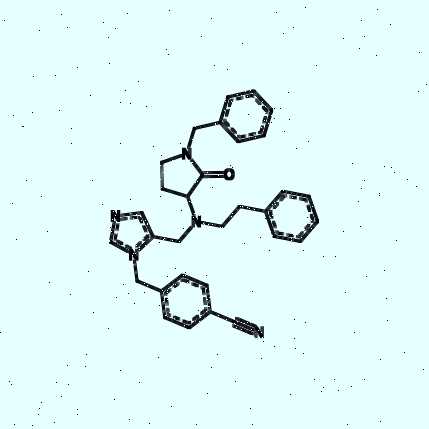 N#Cc1ccc(Cn2cncc2CN(CCc2ccccc2)C2CCN(Cc3ccccc3)C2=O)cc1